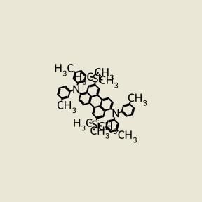 Cc1cccc(N(c2cccc(C)c2)c2ccc3c4cc([Si](C)(C)C)cc5c(N(c6cccc(C)c6)c6cccc(C)c6)ccc(c6cc([Si](C)(C)C)cc2c36)c54)c1